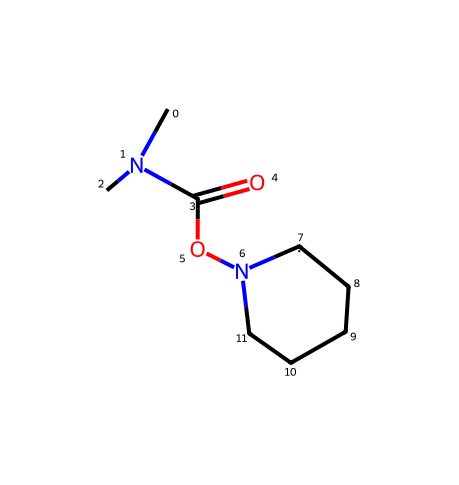 CN(C)C(=O)ON1[CH]CCCC1